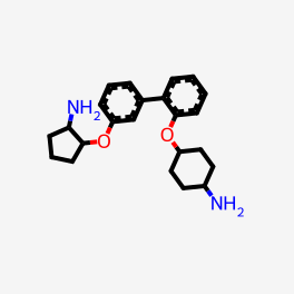 NC1CCC(Oc2ccccc2-c2cccc(OC3CCCC3N)c2)CC1